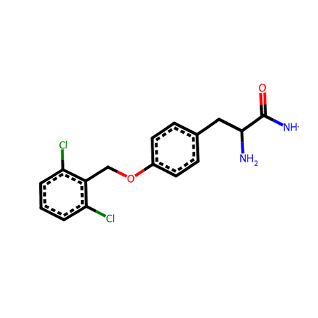 [NH]C(=O)C(N)Cc1ccc(OCc2c(Cl)cccc2Cl)cc1